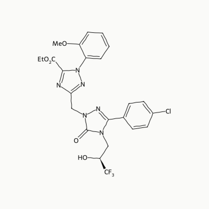 CCOC(=O)c1nc(Cn2nc(-c3ccc(Cl)cc3)n(C[C@H](O)C(F)(F)F)c2=O)nn1-c1ccccc1OC